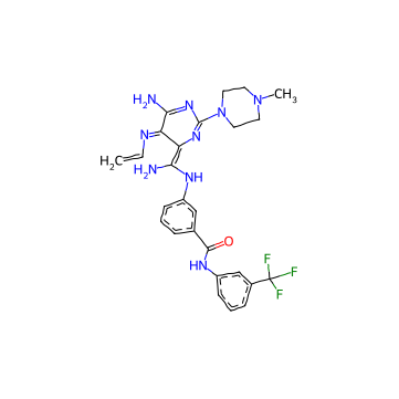 C=C/N=C1/C(N)=NC(N2CCN(C)CC2)=N/C1=C(/N)Nc1cccc(C(=O)Nc2cccc(C(F)(F)F)c2)c1